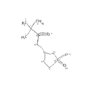 CC(C)(C)C(=O)CC1CCS(=O)(=O)C1